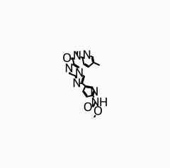 COC(=O)Nc1ccc(-c2cn3cc(C(=O)N(C)c4ccc(C)cn4)ncc3n2)cn1